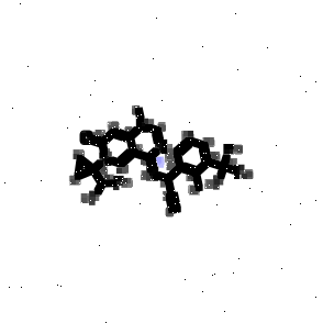 C#CC(/N=c1\ncn(C)c2cc(=O)n(C3(C(F)F)CC3)cc12)c1cccc(C(F)(F)F)c1C